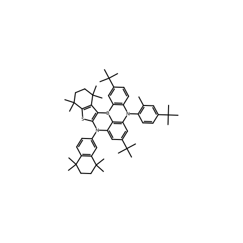 Cc1cc(C(C)(C)C)ccc1N1c2ccc(C(C)(C)C)cc2B2c3c1cc(C(C)(C)C)cc3N(c1ccc3c(c1)C(C)(C)CCC3(C)C)c1sc3c(c12)C(C)(C)CCC3(C)C